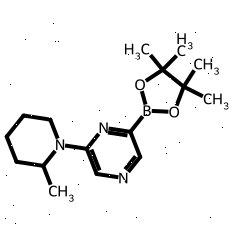 CC1CCCCN1c1cncc(B2OC(C)(C)C(C)(C)O2)n1